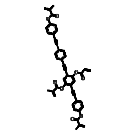 C=CC(=O)Oc1cc(C#Cc2ccc(OC(=O)C(=C)C)cc2)c(OC(=O)C(=C)C)cc1C#Cc1ccc(C#Cc2ccc(OC(=O)C(=C)C)cc2)cc1